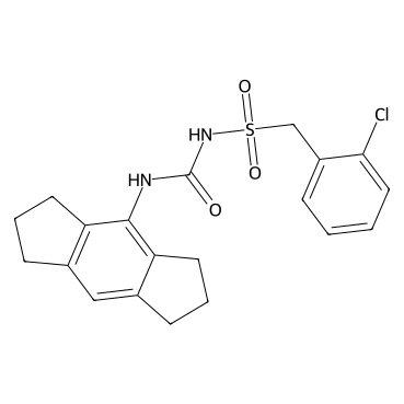 O=C(Nc1c2c(cc3c1CCC3)CCC2)NS(=O)(=O)Cc1ccccc1Cl